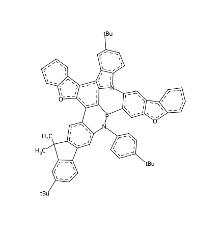 CC(C)(C)c1ccc(N2B3c4cc5oc6ccccc6c5cc4-n4c5ccc(C(C)(C)C)cc5c5c6c(oc7ccccc76)c(c3c54)-c3cc4c(cc32)-c2ccc(C(C)(C)C)cc2C4(C)C)cc1